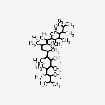 CC(C)C(C)C(C)C(C)C(C)C(C)C(C)C(C)CC(C)C(O)C(C)C(C)C(C)C(C)C(N=O)C(C)C(C)C